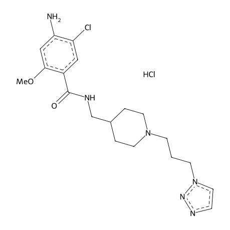 COc1cc(N)c(Cl)cc1C(=O)NCC1CCN(CCCn2ccnn2)CC1.Cl